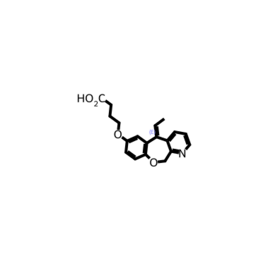 C/C=C1/c2cc(OCCCC(=O)O)ccc2OCc2ncccc21